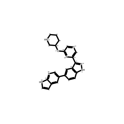 c1cc2cc(-c3ccc4[nH]nc(-c5cncc(OC6CCCNC6)n5)c4c3)cnc2[nH]1